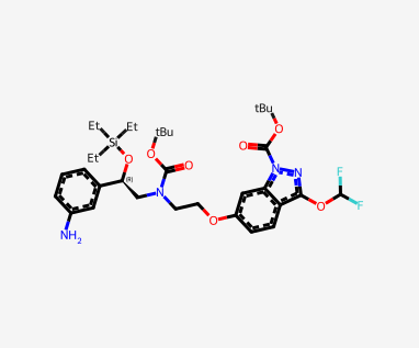 CC[Si](CC)(CC)O[C@@H](CN(CCOc1ccc2c(OC(F)F)nn(C(=O)OC(C)(C)C)c2c1)C(=O)OC(C)(C)C)c1cccc(N)c1